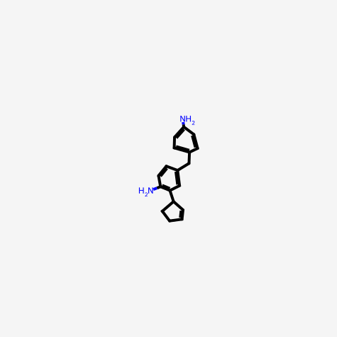 Nc1ccc(Cc2ccc(N)c(C3C=CCC3)c2)cc1